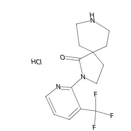 Cl.O=C1N(c2ncccc2C(F)(F)F)CCC12CCNCC2